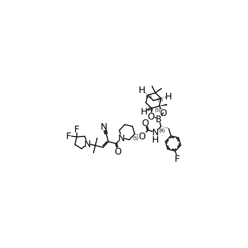 CC1(C)[C@@H]2C[C@H]3OB([C@H](Cc4ccc(F)cc4)NC(=O)O[C@H]4CCCN(C(=O)C(C#N)=CC(C)(C)N5CCC(F)(F)C5)C4)O[C@@]3(C)[C@H]1C2